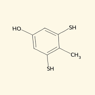 Cc1c(S)cc(O)cc1S